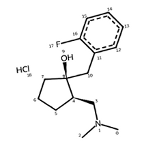 CN(C)C[C@H]1CCC[C@]1(O)Cc1ccccc1F.Cl